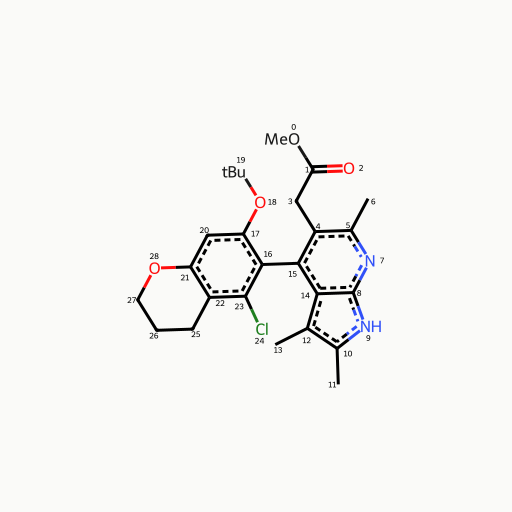 COC(=O)Cc1c(C)nc2[nH]c(C)c(C)c2c1-c1c(OC(C)(C)C)cc2c(c1Cl)CCCO2